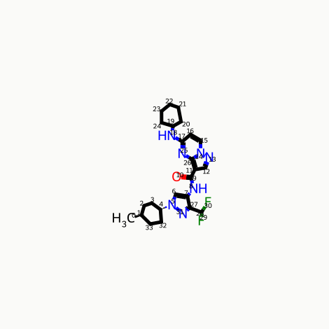 C[C@H]1CC[C@H](n2cc(NC(=O)c3cnn4ccc(NC5CCCCC5)nc34)c(C(F)F)n2)CC1